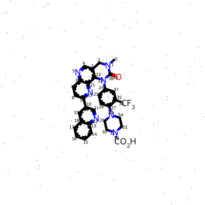 CN1Cc2cnc3ccc(-c4cnc5ccccc5c4)nc3c2N(c2ccc(N3CCN(C(=O)O)CC3)c(C(F)(F)F)c2)C1=O